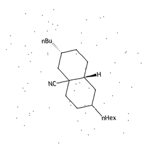 CCCCCCC1CCC2(C#N)C[C@H](CCCC)CC[C@@H]2C1